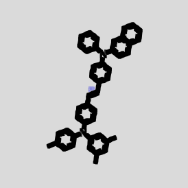 Cc1ccc(N(c2ccc(/C=C/c3ccc(N(c4ccccc4)c4ccc5ccccc5c4)cc3)cc2)c2cc(C)cc(C)c2)cc1